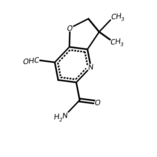 CC1(C)COc2c(C=O)cc(C(N)=O)nc21